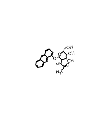 CC(=O)N[C@H]1[C@H](Oc2cccc3cc4ccccc4cc23)O[C@H](CO)[C@H](O)[C@@H]1O